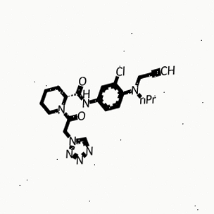 C#CCN(CCC)c1ccc(NC(=O)[C@H]2CCCCN2C(=O)Cn2cnnn2)cc1Cl